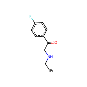 CC(C)CNCC(=O)c1ccc(F)cc1